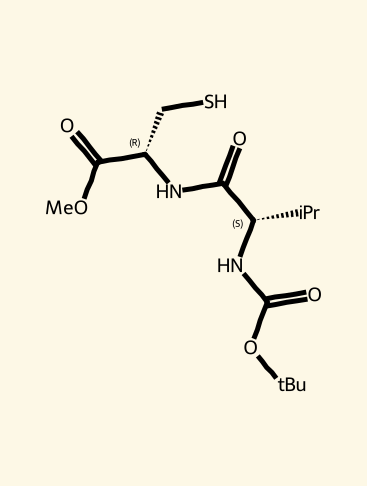 COC(=O)[C@H](CS)NC(=O)[C@@H](NC(=O)OC(C)(C)C)C(C)C